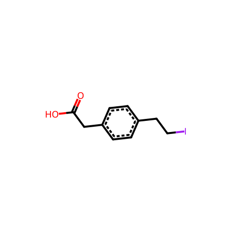 O=C(O)Cc1ccc(CCI)cc1